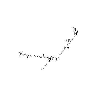 C=C(CCCCCCC(=C)CC(C)(C)N(CCCCCC)CCC(=C)CCCCCCC(=C)CCC(C)(C)C)CCNCCCN1CCN(C)C1